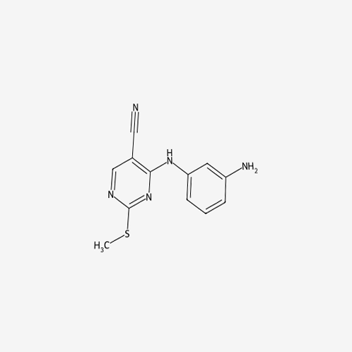 CSc1ncc(C#N)c(Nc2cccc(N)c2)n1